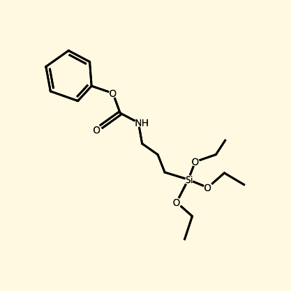 CCO[Si](CCCNC(=O)Oc1ccccc1)(OCC)OCC